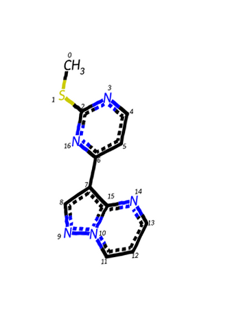 CSc1nccc(-c2cnn3cccnc23)n1